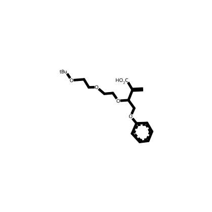 C=C(C(=O)O)C(COc1ccccc1)OCCOCCOC(C)(C)C